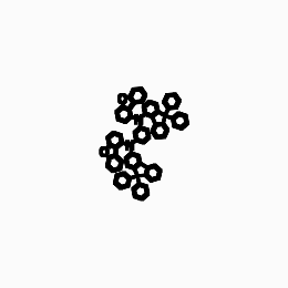 c1ccc(C2(c3ccccc3)c3ccccc3-c3cc(N(c4cccc(N(c5cccc6c5-c5ccccc5C6(c5ccccc5)c5ccccc5)c5cccc6oc7ccccc7c56)c4)c4cccc5oc6ccccc6c45)ccc32)cc1